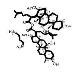 CC(=O)O[C@H]1C[C@@]2(C)[C@H](C[C@@H](O)C3[C@@]4(C)CC[C@@H](O)[C@@H](C)C4CC[C@@]32C)C1=C(CCC=C(C)C)C(=O)OC(=O)C(CCC=C(C)C)=C1[C@@H](OC(C)=O)C[C@@]2(C)[C@@H]1C[C@@H](O)[C@@H]1[C@@]3(C)CC[C@@H](O)[C@@H](C)C3CC[C@@]12C.NCCCN